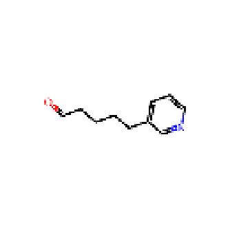 O=[C]CCCCc1cccnc1